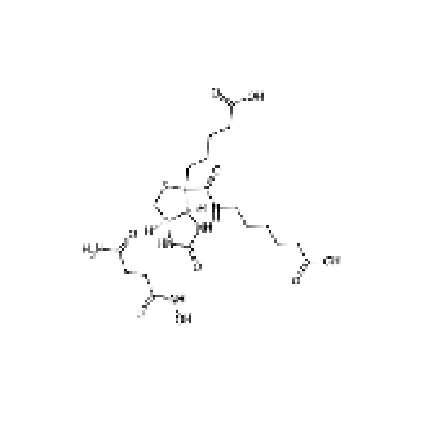 NC(=O)CCC(=O)NO.O=C(O)CCCCCNC(=O)[C@@]1(CCCCC(=O)O)SC[C@@H]2NC(=O)N[C@@H]21